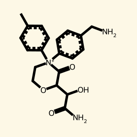 Cc1ccc([N+]2(c3ccc(CN)cc3)CCOC(C(O)C(N)=O)C2=O)cc1